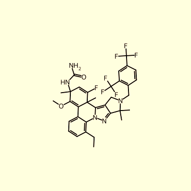 CCc1cccc2c1-n1nc3c(c1C1(C)C(F)=CC(C)(NC(N)=O)C(OC)=C21)CN(Cc1ccc(C(F)(F)F)cc1C(F)(F)F)C3(C)C